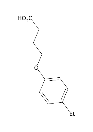 CCc1ccc(OCCCC(=O)O)cc1